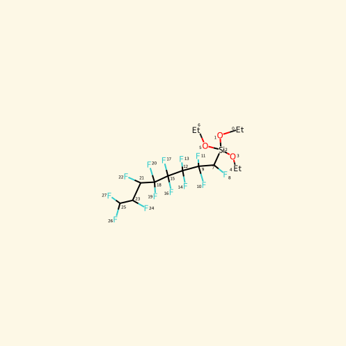 CCO[Si](OCC)(OCC)C(F)C(F)(F)C(F)(F)C(F)(F)C(F)(F)C(F)C(F)C(F)F